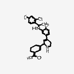 CC(Nc1cc(C2=CC(C3CCCC(C(=O)O)C3)NCC2)ccc1Cl)c1ccc(Cl)cc1Cl